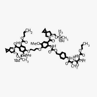 C=CCOC(=O)Nc1cc(OCCCOc2cc(NC(=O)OCc3ccc(NC(=O)[C@H](C)NC(=O)[C@@H](NC(=O)OCC=C)C(C)C)cc3)c(C(=O)N3CC4(CC4)C[C@H]3CO[Si](C)(C)C(C)(C)C)cc2OC)c(OC)cc1C(=O)N1CC2(CC2)C[C@H]1CO[Si](C)(C)C(C)(C)C